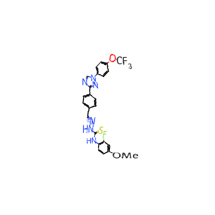 COc1ccc(NC(=S)N/N=C/c2ccc(-c3ncn(-c4ccc(OC(F)(F)F)cc4)n3)cc2)c(F)c1